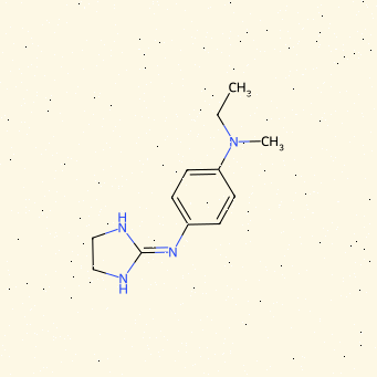 CCN(C)c1ccc(N=C2NCCN2)cc1